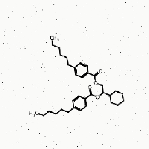 CCCCCCc1ccc(C(=O)OCC(OC(=O)c2ccc(CCCCCC)cc2)C2CCCCC2)cc1